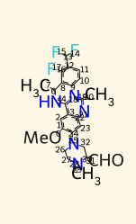 COc1cc2c(NC(C)c3cccc(C(F)F)c3F)nc(C)nc2cc1N1CCN(C)[C@@H](C=O)C1